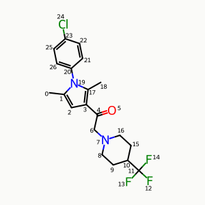 Cc1cc(C(=O)CN2CCC(C(F)(F)F)CC2)c(C)n1-c1ccc(Cl)cc1